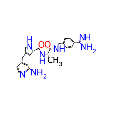 C[C@H](NC(=O)[C@H]1C=C(Cc2ccnc(N)c2)CN1)C(=O)NCc1ccc(C(=N)N)cc1